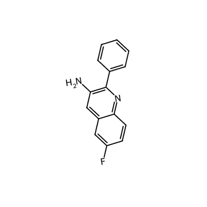 Nc1cc2cc(F)ccc2nc1-c1ccccc1